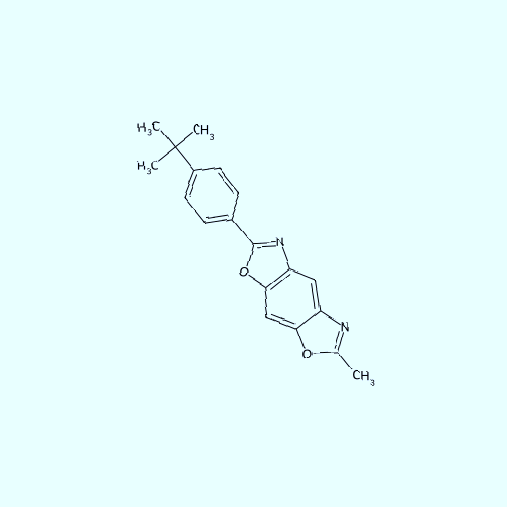 Cc1nc2cc3nc(-c4ccc(C(C)(C)C)cc4)oc3cc2o1